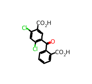 O=C(O)c1cc(C(=O)c2ccccc2C(=O)O)c(Cl)cc1Cl